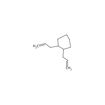 C=CCC1CCCCC1CC=C